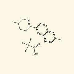 Cc1cnc2cc(C3=NCC(C)CC3)ccc2c1.O=C(O)C(F)(F)F